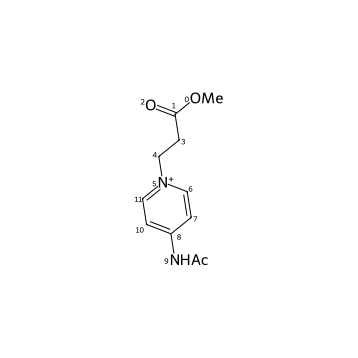 COC(=O)CC[n+]1ccc(NC(C)=O)cc1